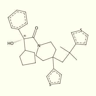 CC(C)(CC1(c2ccsc2)CCN(C(=O)[C@](O)(c2ccccc2)C2CCCC2)CC1)c1ccsc1